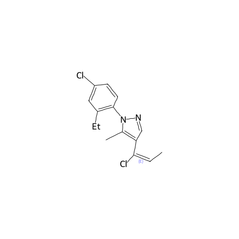 C/C=C(/Cl)c1cnn(-c2ccc(Cl)cc2CC)c1C